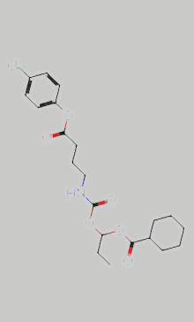 CCC(OC(=O)NCCCC(=O)Oc1ccc(Cl)cc1)OC(=O)C1CCCCC1